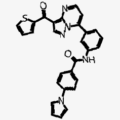 O=C(Nc1cccc(-c2ccnc3c(C(=O)c4cccs4)cnn23)c1)c1ccc(-n2cccc2)cc1